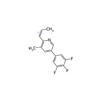 C/C=C\c1ncc(-c2cc(F)c(F)c(F)c2)cc1C